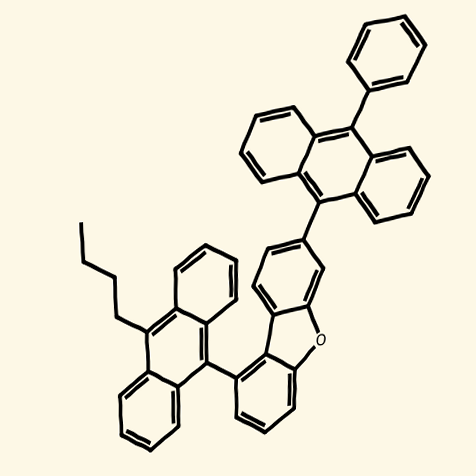 CCCCc1c2ccccc2c(-c2cccc3oc4cc(-c5c6ccccc6c(-c6ccccc6)c6ccccc56)ccc4c23)c2ccccc12